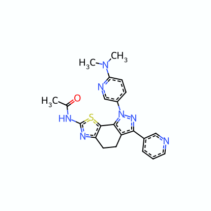 CC(=O)Nc1nc2c(s1)-c1c(c(-c3cccnc3)nn1-c1ccc(N(C)C)nc1)CC2